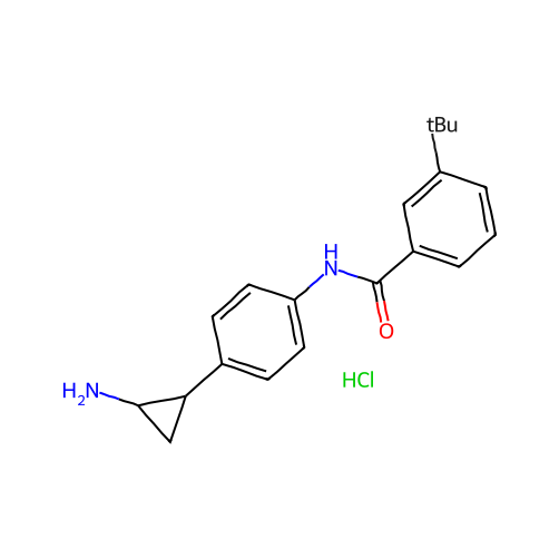 CC(C)(C)c1cccc(C(=O)Nc2ccc(C3CC3N)cc2)c1.Cl